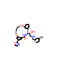 CC(C)c1cccc(CNC[C@@H](O)[C@@H]2Cc3cccc(c3)OCCCCOc3cc(cc(-c4ncco4)c3)C(=O)N2)c1